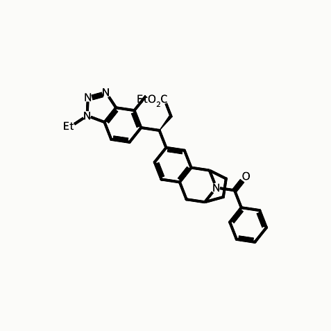 CCOC(=O)C[C@@H](c1ccc2c(c1)C1CCC(C2)N1C(=O)c1ccccc1)c1ccc2c(nnn2CC)c1C